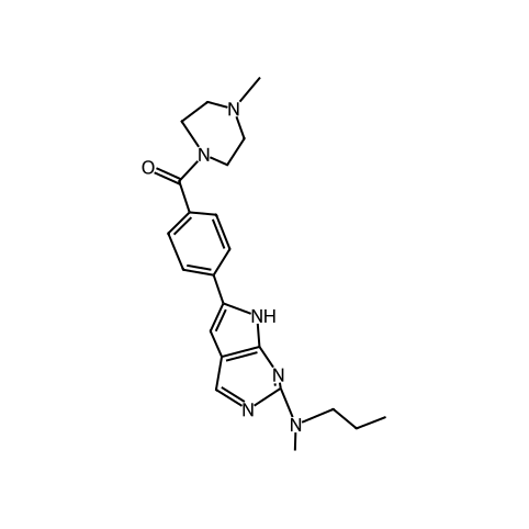 CCCN(C)c1ncc2cc(-c3ccc(C(=O)N4CCN(C)CC4)cc3)[nH]c2n1